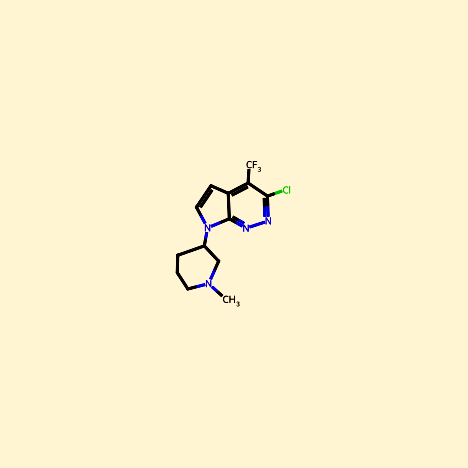 CN1CCCC(n2ccc3c(C(F)(F)F)c(Cl)nnc32)C1